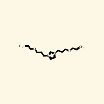 C=CCOCCCn1cc[n+](CCCOCC=C)c1